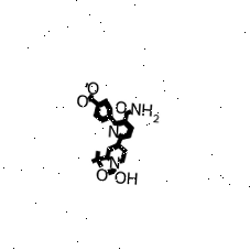 COC(=O)c1ccc(-c2nc(C3=CC(C(C)(C)C)N(C(=O)O)CC3)ccc2C(N)=O)cc1